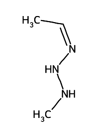 C/C=N\NNC